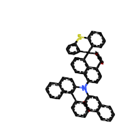 c1ccc(-c2c(N(c3ccc4ccccc4c3)c3ccc4c5c(cccc35)C3(c5ccccc5Sc5ccccc53)c3ccccc3-4)ccc3ccccc23)cc1